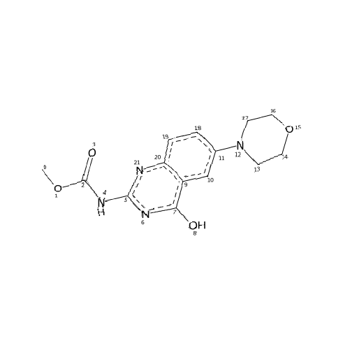 COC(=O)Nc1nc(O)c2cc(N3CCOCC3)ccc2n1